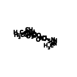 Cn1nnnc1SCC1CCN(C(=O)Oc2ccc(C(=O)NC(C)(C)CC(C)(C)C)cc2)CC1